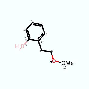 Bc1ccccc1CCOOC